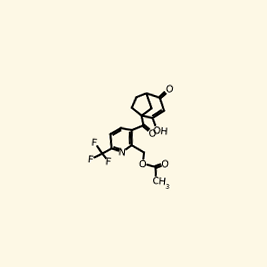 CC(=O)OCc1nc(C(F)(F)F)ccc1C(=O)C12CCC(C1)C(=O)C=C2O